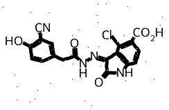 N#Cc1cc(CC(=O)NN=C2C(=O)Nc3ccc(C(=O)O)c(Cl)c32)ccc1O